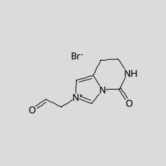 O=CC[n+]1cc2n(c1)C(=O)NCC2.[Br-]